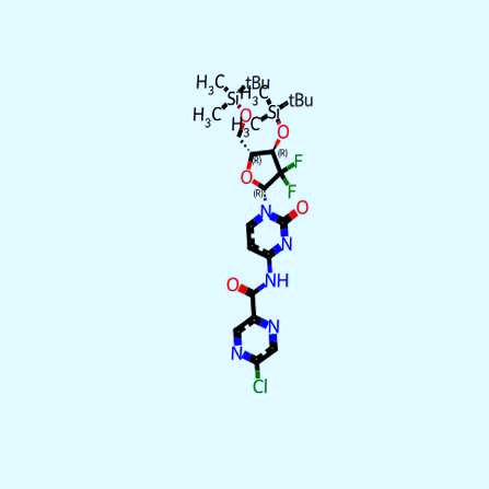 CC(C)(C)[Si](C)(C)OC[C@H]1O[C@@H](n2ccc(NC(=O)c3cnc(Cl)cn3)nc2=O)C(F)(F)[C@@H]1O[Si](C)(C)C(C)(C)C